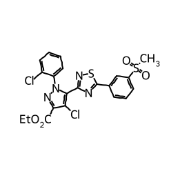 CCOC(=O)c1nn(-c2ccccc2Cl)c(-c2nsc(-c3cccc(S(C)(=O)=O)c3)n2)c1Cl